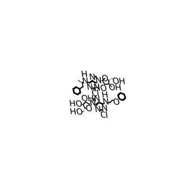 C[C@H](Cc1ccccc1)Nc1nc(Cl)nc2c1ncn2[C@@H]1O[C@H](CO)[C@@H](O)[C@H]1O.OC[C@H]1O[C@@H](n2cnc3c(NCCOc4ccccc4)nc(Cl)nc32)[C@H](O)[C@@H]1O